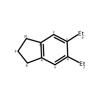 CCc1cc2c(cc1CC)CCC2